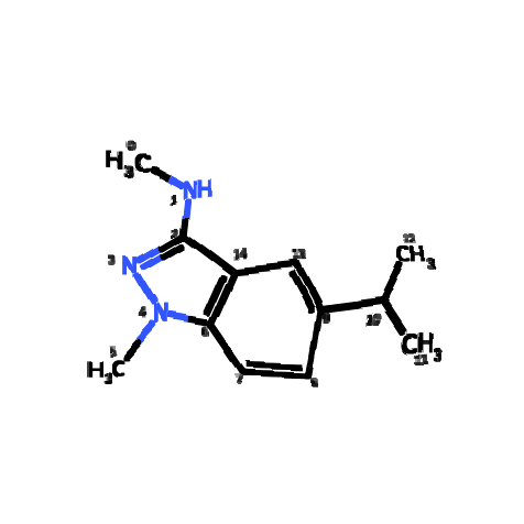 CNc1nn(C)c2ccc(C(C)C)cc12